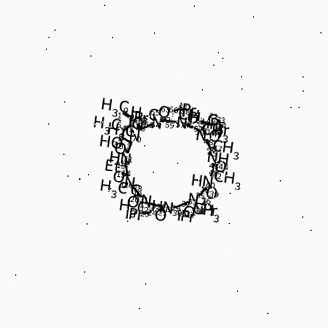 C/C=C/C[C@@H](C)[C@@H](O)[C@H]1C(=O)N[C@@H](CC)C(=O)N(C)CC(=O)N(C)[C@@H](CC(C)C)C(=O)N[C@@H](C(C)C)C(=O)N(C)[C@@H](CC(C)C)C(=O)N[C@@H](C)C(=O)N[C@H](C)C(=O)N(C)[C@@H](CC(C)C)C(=O)N(C)[C@@H](CC(C)C)C(=O)N(C)[C@@H](C(C)C)C(=O)N1C.C=CBr